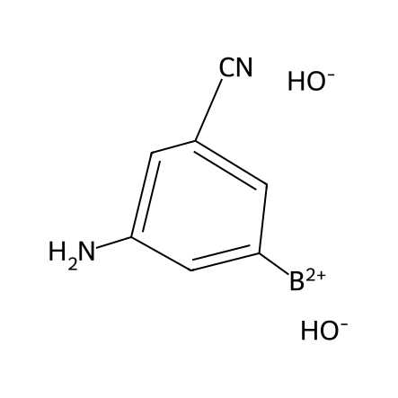 [B+2]c1cc(N)cc(C#N)c1.[OH-].[OH-]